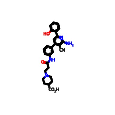 N#Cc1c(-c2cccc(NC(=O)CCN3CCC(C(=O)O)CC3)c2)cc(-c2ccccc2O)nc1N